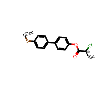 CCCCCCCCCCSc1ccc(-c2ccc(OC(=O)[C@@H](Cl)C(C)CC)cc2)cc1